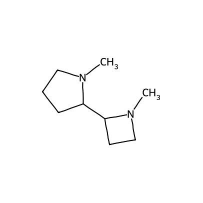 CN1CCCC1C1CCN1C